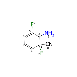 N#CC1(F)C=CC=C(F)C1N